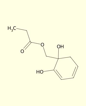 CCC(=O)OCC1(O)CC=CC=C1O